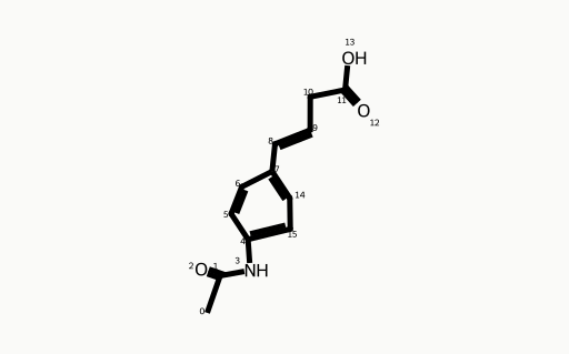 CC(=O)Nc1ccc(C=CCC(=O)O)cc1